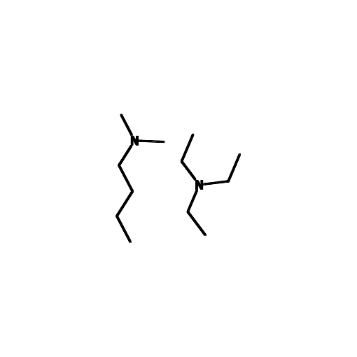 CCCCN(C)C.CCN(CC)CC